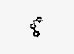 c1ccc(C2CCN(Cn3ccnc3)C2)cc1